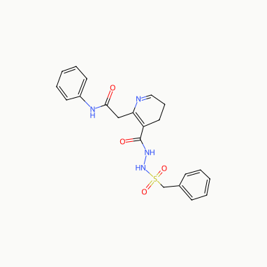 O=C(CC1=C(C(=O)NNS(=O)(=O)Cc2ccccc2)CCC=N1)Nc1ccccc1